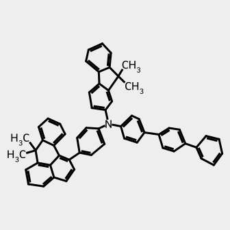 CC1(C)c2ccccc2-c2ccc(N(c3ccc(-c4ccc(-c5ccccc5)cc4)cc3)c3ccc(-c4ccc5cccc6c5c4-c4ccccc4C6(C)C)cc3)cc21